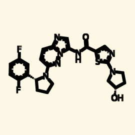 O=C(Nc1cnc2ccc(N3CCC[C@@H]3c3cc(F)ccc3F)nn12)c1cnc(N2CC[C@H](O)C2)s1